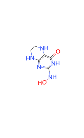 O=c1[nH]c(NO)nc2c1NCCN2